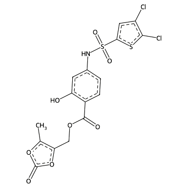 Cc1oc(=O)oc1COC(=O)c1ccc(NS(=O)(=O)c2cc(Cl)c(Cl)s2)cc1O